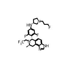 C[C@@H]1Cc2c(ccc3[nH]cnc23)[C@@H](c2c(F)cc(N[C@@H]3CCN(CCCF)C3)cc2F)N1CC(F)(F)F